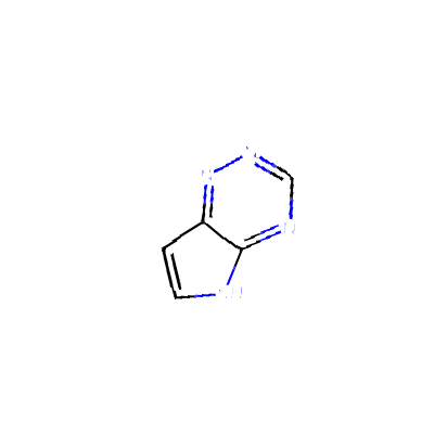 [c]1c[nH]c2ncnnc12